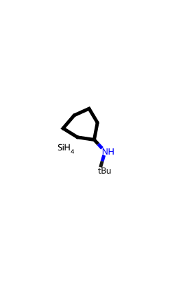 CC(C)(C)NC1CCCCC1.[SiH4]